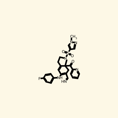 Cn1cc(S(=O)(=O)N2CCC3=CC(Nc4ccc(F)cc4)=C(C=N)CC3(C(=O)c3ccccn3)C2)cn1